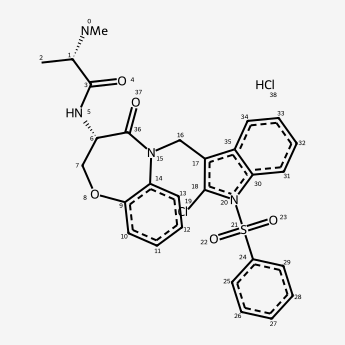 CN[C@@H](C)C(=O)N[C@H]1COc2ccccc2N(Cc2c(Cl)n(S(=O)(=O)c3ccccc3)c3ccccc23)C1=O.Cl